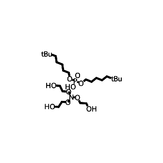 CC(C)(C)CCCCCOP(=O)(O)OCCCCCC(C)(C)C.OCCON(OCCO)OCCO